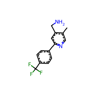 Cc1cnc(-c2ccc(C(F)(F)F)cc2)cc1CN